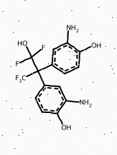 Nc1cc(C(c2ccc(O)c(N)c2)(C(O)(F)F)C(F)(F)F)ccc1O